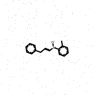 Cc1ccccc1[S+]([O-])C=CCc1ccccc1